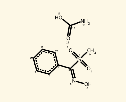 CS(=O)(=O)C(=NO)c1ccccc1.NC(=O)O